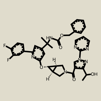 CC(O)c1nn(-c2ncccn2)cc1C(=O)N1C[C@@H]2[C@H](C1)[C@H]2Oc1cc(C(C)(C)NC(=O)OCc2ccccc2)cc(-c2ccc(F)c(F)c2)n1